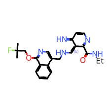 CCNC(=O)C1=NC=CC(=N)/C1=C\NCc1cnc(OCC(C)(C)F)c2ccccc12